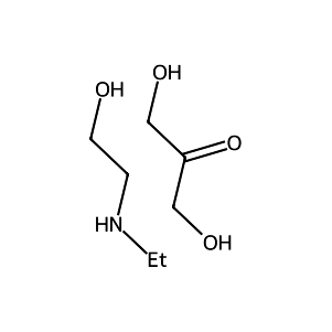 CCNCCO.O=C(CO)CO